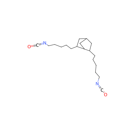 O=C=NCCCCCC1CC2CC(CCCCCN=C=O)C1C2